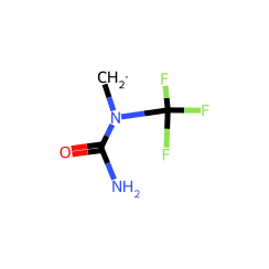 [CH2]N(C(N)=O)C(F)(F)F